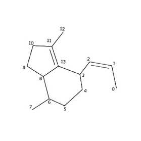 C/C=C\C1CCC(C)C2CCC(C)=C12